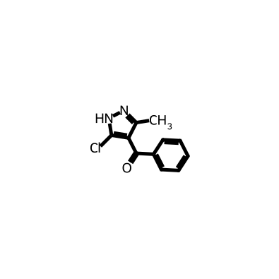 Cc1n[nH]c(Cl)c1C(=O)c1ccccc1